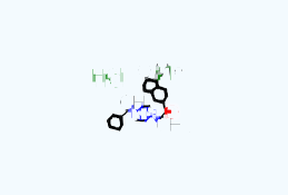 COc1ccc2cc(C(=O)[C@H](C)N3CCN(C(C)c4ccccc4)CC3)ccc2c1Cl.Cl.Cl